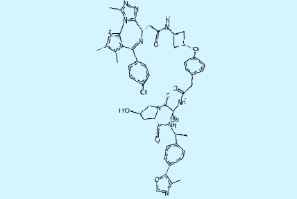 Cc1ncoc1-c1ccc([C@H](C)NC(=O)[C@@H]2C[C@@H](O)CN2C(=O)[C@@H](NC(=O)Cc2ccc(OC3CC(NC(=O)C[C@@H]4N=C(c5ccc(Cl)cc5)c5c(sc(C)c5C)-n5c(C)nnc54)C3)cc2)C(C)(C)C)cc1